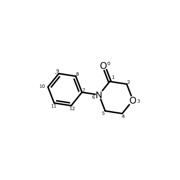 O=C1COCCN1c1c[c]ccc1